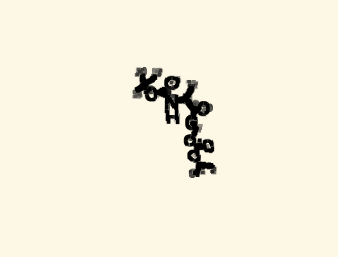 CC(C)OC(=O)OCOC(=O)C(C)NC(=O)OC(C)(C)C